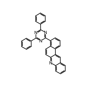 c1ccc(-c2nc(-c3ccccc3)nc(-c3cccc4c3ccc3nc5ccccc5cc34)n2)cc1